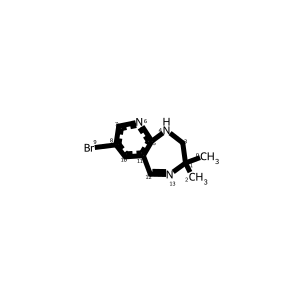 CC1(C)CNc2ncc(Br)cc2C=N1